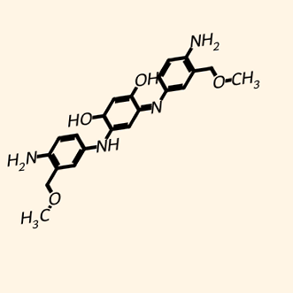 COCc1cc(/N=C2/C=C(Nc3ccc(N)c(COC)c3)C(O)C=C2O)ccc1N